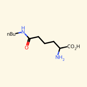 CCCCNC(=O)CCCC(N)C(=O)O